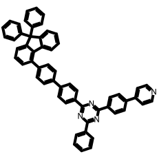 c1ccc(-c2nc(-c3ccc(-c4ccncc4)cc3)nc(-c3ccc(-c4ccc(-c5cccc6c5-c5ccccc5C6(c5ccccc5)c5ccccc5)cc4)cc3)n2)cc1